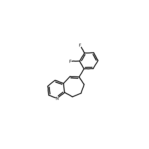 Fc1cccc(C2=Cc3cccnc3CCC2)c1F